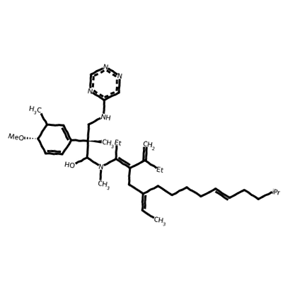 C=C(CC)/C(C/C(=C/C)CCCCC=CCCC(C)C)=C(\CC)N(C)C(O)[C@@](C)(CNc1cnncn1)C1=CC(C)[C@@H](OC)C=C1